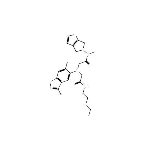 CCNCCNC(=O)CN(CC(=O)N(C)N1Cc2ccsc2C1)c1cc2c(C)noc2cc1C